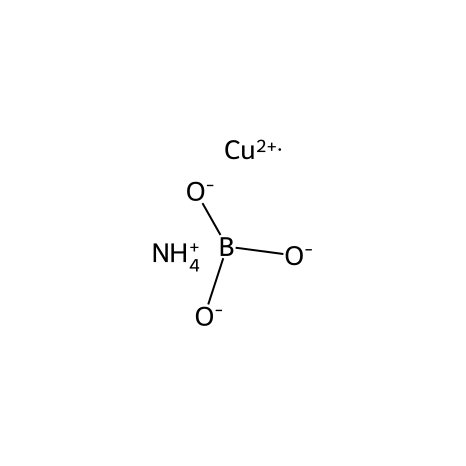 [Cu+2].[NH4+].[O-]B([O-])[O-]